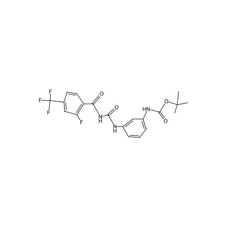 CC(C)(C)OC(=O)Nc1cccc(NC(=O)NC(=O)c2ccc(C(F)(F)F)cc2F)c1